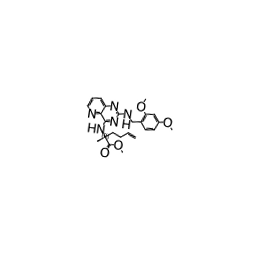 C=CCC[C@@](C)(Nc1nc(NCc2ccc(OC)cc2OC)nc2cccnc12)C(=O)OC